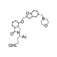 CC(=O)C(CCC=O)N1Cc2c(OCc3cc4cc(CB5CCOCC5)ccc4o3)cccc2C1=O